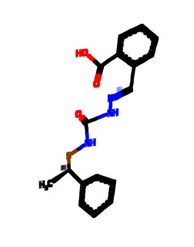 C[C@@H](SNC(=O)N/N=C/c1ccccc1C(=O)O)c1ccccc1